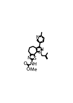 C=C(C)Cn1nc(-c2ccc(C)nc2)c2c1-c1sc(NC(=O)OC)nc1CCC2